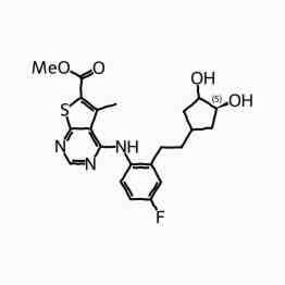 COC(=O)c1sc2ncnc(Nc3ccc(F)cc3CCC3CC(O)[C@@H](O)C3)c2c1C